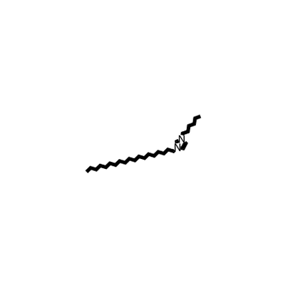 CCCCCCCCCCCCCCCCCCCN1C=CN(CCCCCC)C1